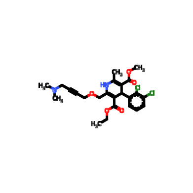 CCOC(=O)C1=C(COCC#CCN(C)C)NC(C)=C(C(=O)OC)C1c1cccc(Cl)c1Cl